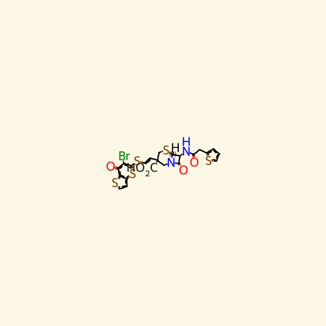 O=C(Cc1cccs1)NC1C(=O)N2CC(C=CSc3sc4ccsc4c(=O)c3Br)(C(=O)O)CS[C@H]12